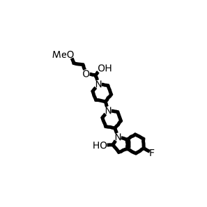 COCCOC(O)N1CCC(N2CCC(N3C4=C(CC(F)CC4)CC3O)CC2)CC1